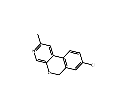 Cc1cc2c(cn1)OCc1cc(Cl)ccc1-2